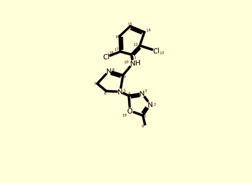 Cc1nnc(N2CCN=C2Nc2c(Cl)cccc2Cl)o1